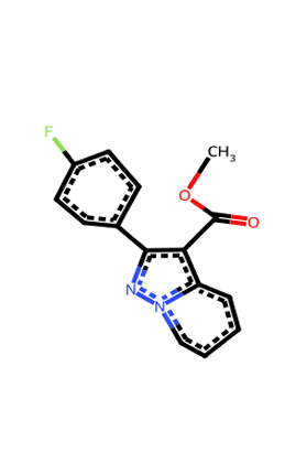 COC(=O)c1c(-c2ccc(F)cc2)nn2ccccc12